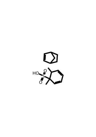 C1=CC2CCC1C2.CC1C=CC=CC1(C)S(=O)(=O)O